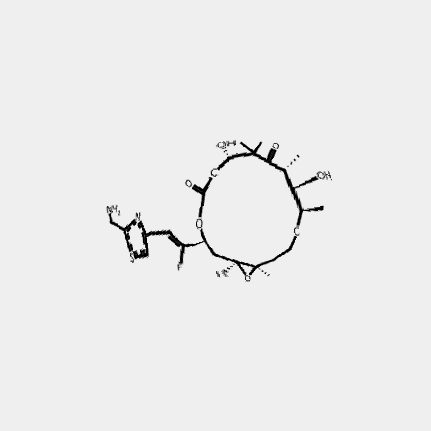 C[C@H]1CCC[C@@]2(C)O[C@H]2C[C@@H](/C(F)=C/c2csc(CN)n2)OC(=O)C[C@H](O)C(C)(C)C(=O)[C@H](C)[C@H]1O